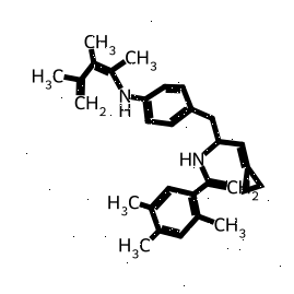 C=C(C)/C(C)=C(/C)Nc1ccc(CC(C=C2CC2)NC(=C)c2cc(C)c(C)cc2C)cc1